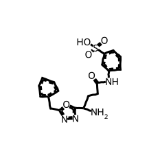 NC(CCC(=O)Nc1cccc(S(=O)(=O)O)c1)c1nnc(Cc2ccccc2)o1